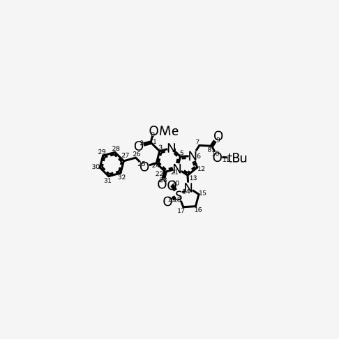 COC(=O)c1nc2n(CC(=O)OC(C)(C)C)cc(N3CCCS3(=O)=O)n2c(=O)c1OCc1ccccc1